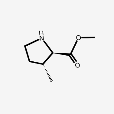 COC(=O)[C@@H]1NCC[C@H]1C